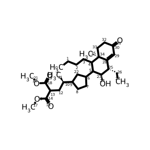 CCCCC1C(C2CCC([C@H](C)CC(C(=O)OC)C(=O)OC)C2)[C@H](O)[C@@H](CC)C2=CC(=O)CC[C@@]21C